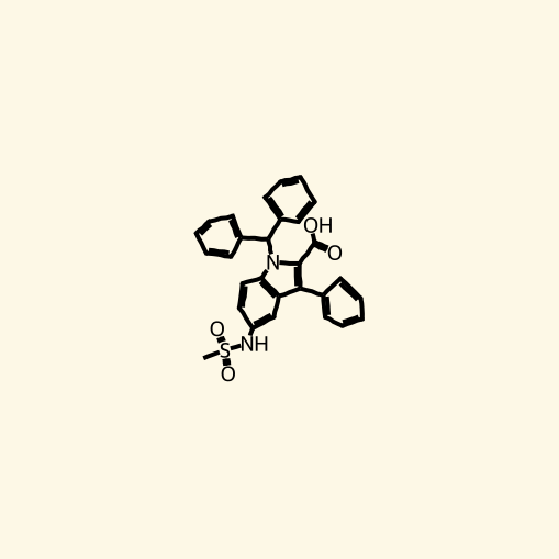 CS(=O)(=O)Nc1ccc2c(c1)c(-c1ccccc1)c(C(=O)O)n2C(c1ccccc1)c1ccccc1